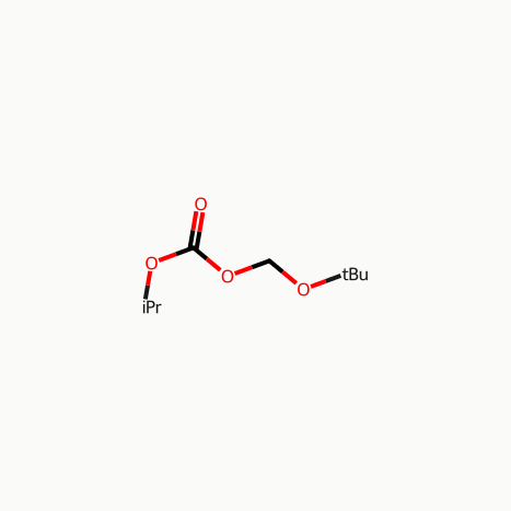 CC(C)OC(=O)OCOC(C)(C)C